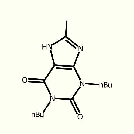 CCCCn1c(=O)c2[nH]c(I)nc2n(CCCC)c1=O